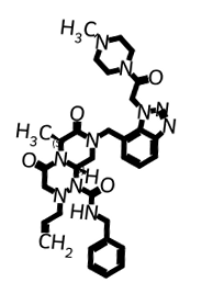 C=CCN1CC(=O)N2[C@@H](C)C(=O)N(Cc3cccc4nnn(CC(=O)N5CCN(C)CC5)c34)C[C@@H]2N1C(=O)NCc1ccccc1